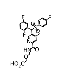 Cc1cc(C(=O)NCOCC(=O)O)ncc1C(c1cc(F)ccc1F)S(=O)(=O)c1ccc(F)cc1